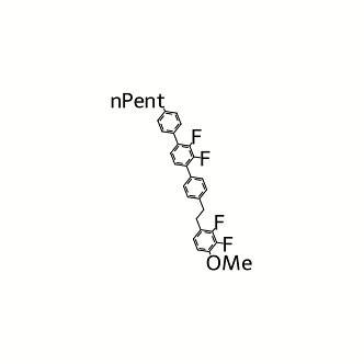 CCCCCc1ccc(-c2ccc(-c3ccc(CCc4ccc(OC)c(F)c4F)cc3)c(F)c2F)cc1